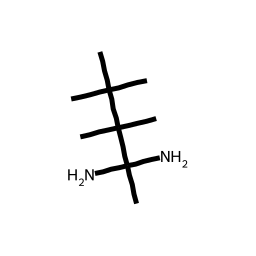 CC(C)(C)C(C)(C)C(C)(N)N